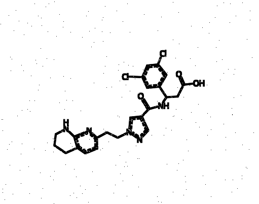 O=C(O)CC(NC(=O)c1cnn(CCc2ccc3c(n2)NCCC3)c1)c1cc(Cl)cc(Cl)c1